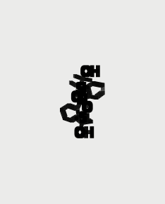 CC(C)(O)[Si](C)(C)O[Si](O[Si]12CC1(O)C2)(c1ccccc1)c1ccccc1